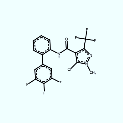 Cn1nc(C(F)(F)F)c(C(=O)Nc2ccccc2-c2cc(F)c(F)c(F)c2)c1Cl